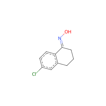 ON=C1CCCc2cc(Cl)ccc21